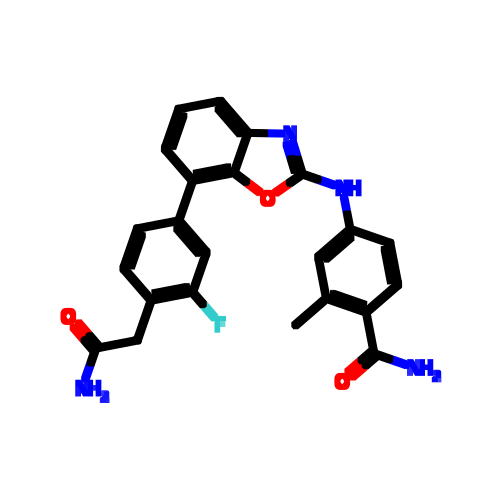 Cc1cc(Nc2nc3cccc(-c4ccc(CC(N)=O)c(F)c4)c3o2)ccc1C(N)=O